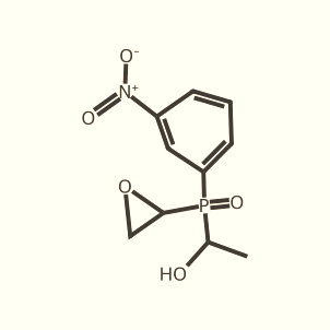 CC(O)P(=O)(c1cccc([N+](=O)[O-])c1)C1CO1